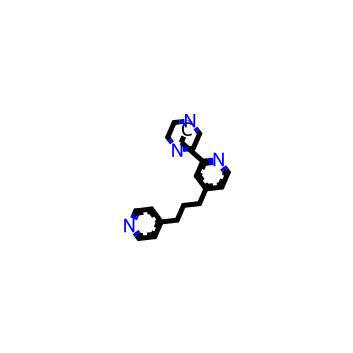 c1cc(CCCc2ccnc(C3CN4CCN3CC4)c2)ccn1